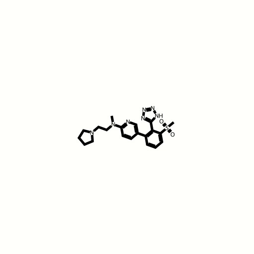 CN(CCN1CCCC1)c1ccc(-c2cccc(S(C)(=O)=O)c2-c2nnn[nH]2)cn1